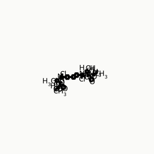 COC(=O)N[C@H](C(=O)N1[C@H](C)[C@H](C)C[C@H]1c1nc(Cl)c(-c2ccc(-c3ccc4cc(-c5[nH]c([C@@H]6C[C@@H](C)[C@@H](C)N6C(=O)[C@@H](NC(=O)OC)C6CCOCC6)nc5Cl)ccc4c3)cc2)[nH]1)C1CCOCC1